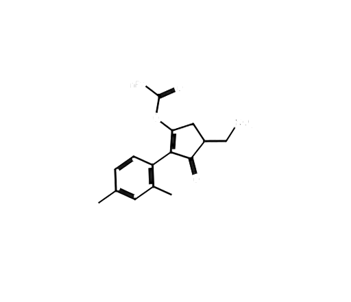 CCCC(=O)OC1=C(c2ccc(C)cc2C)C(=O)C(C[N+](=O)[O-])C1